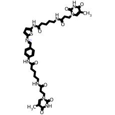 Cc1cn(CCC(=O)NCCCCC(=O)Nc2ccc(/C=N/c3ccc(NC(=O)CCCCNC(=O)CCn4cc(C)c(=O)[nH]c4=O)s3)cc2)c(=O)[nH]c1=O